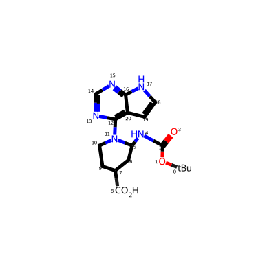 CC(C)(C)OC(=O)NC1CC(C(=O)O)CCN1c1ncnc2[nH]ccc12